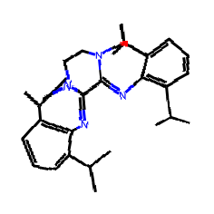 CC(C)c1cccc(C(C)C)c1N=C1C(=Nc2c(C(C)C)cccc2C(C)C)N(C)CCN1C